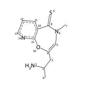 CC(N)CC1=CN(C)C(=S)c2cccnc2O1